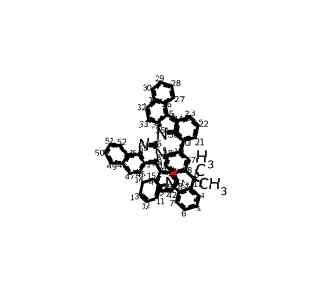 CC1(C)c2ccccc2N(C2=CC=CCC2)c2ccc(-c3cccc4c5c6ccccc6ccc5n(-c5nc(-c6ccccc6)c6ccc7ccccc7c6n5)c34)cc21